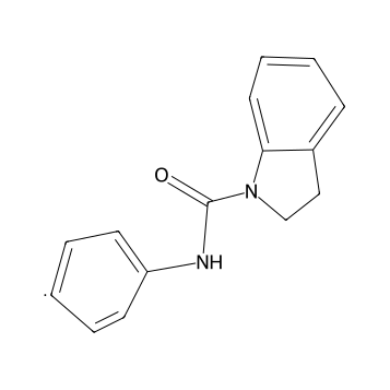 O=C(Nc1cc[c]cc1)N1CCc2ccccc21